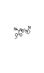 CCOC(=O)C(C#N)=NO[C]N1CCCC1N(C)C